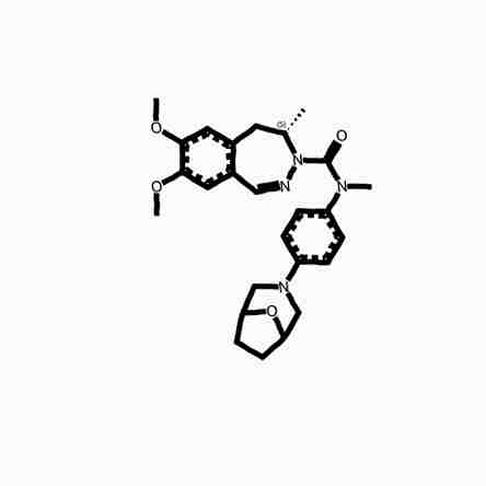 COc1cc2c(cc1OC)C[C@H](C)N(C(=O)N(C)c1ccc(N3CC4CCC(C3)O4)cc1)N=C2